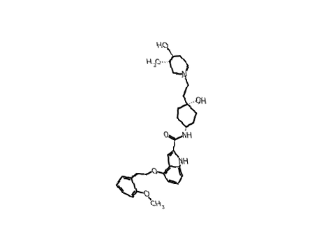 COc1ccccc1CCOc1cccc2[nH]c(C(=O)N[C@H]3CC[C@](O)(CCN4CC[C@H](O)[C@@H](C)C4)CC3)cc12